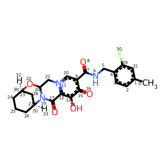 Cc1ccc(CNC(=O)c2cn3c(c(O)c2=O)C(=O)N2C(C3)O[C@@H]3CCC[C@H]2C3)c(F)c1